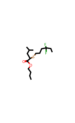 CCCCOC(=O)C(CC(C)C)SCCCC(F)(F)CC